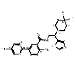 O=C(NCC(c1cnco1)N1CCC(F)(F)CC1)c1cc(-c2ncc(F)cn2)ccc1Cl